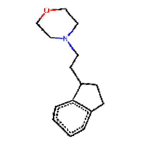 c1ccc2c(c1)CC[C]2CCN1CCOCC1